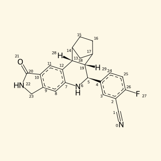 N#Cc1cc([C@H]2Nc3cc4c(cc3[C@@H]3C5CCC(C5)[C@H]23)C(=O)NC4)ccc1F